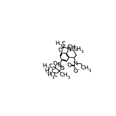 CCN(C(=O)[O-])C1CC(C)[N+](C)(C(C)=O)c2ccc(B3OC(C)(C)C(C)(C)O3)cc21